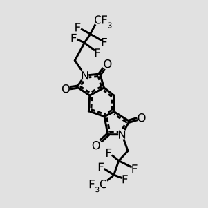 O=c1c2cc3c(=O)n(CC(F)(F)C(F)(F)C(F)(F)F)c(=O)c3cc2c(=O)n1CC(F)(F)C(F)(F)C(F)(F)F